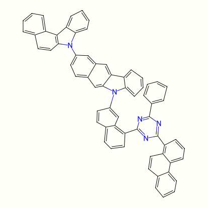 c1ccc(-c2nc(-c3cccc4ccc(-n5c6ccccc6c6cc7cc(-n8c9ccccc9c9c%10ccccc%10ccc98)ccc7cc65)cc34)nc(-c3cccc4c3ccc3ccccc34)n2)cc1